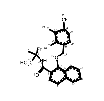 CCC(C)(NC(=O)c1ccc2ccccc2c1OCc1ccc(C(F)(F)F)c(F)c1F)C(=O)O